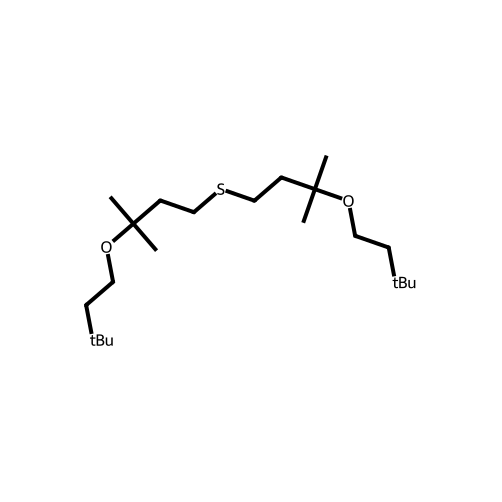 CC(C)(C)CCOC(C)(C)CCSCCC(C)(C)OCCC(C)(C)C